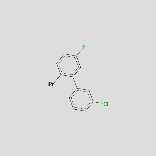 CC(C)c1ccc(F)cc1-c1cccc(Cl)c1